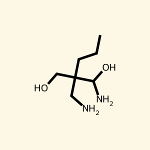 CCCC(CN)(CO)C(N)O